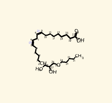 CCCCC/C=C\C/C=C\CCCCCCCC(=O)O.CCCCCOCC(O)CO